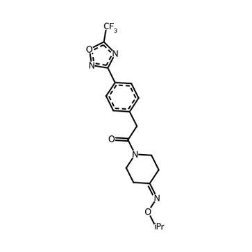 CC(C)ON=C1CCN(C(=O)Cc2ccc(-c3noc(C(F)(F)F)n3)cc2)CC1